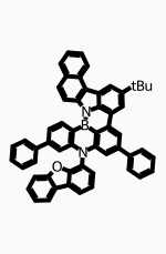 CC(C)(C)c1cc2c3c(c1)c1c4ccccc4ccc1n3B1c3ccc(-c4ccccc4)cc3N(c3cccc4c3oc3ccccc34)c3cc(-c4ccccc4)cc-2c31